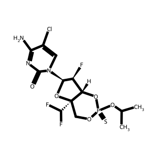 CC(C)OP1(=S)OC[C@@]2(C(F)F)O[C@@H](n3cc(Cl)c(N)nc3=O)[C@@H](F)[C@@H]2O1